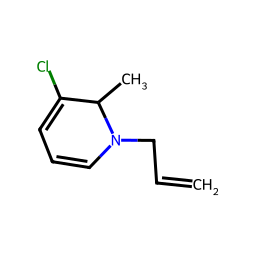 C=CCN1C=CC=C(Cl)C1C